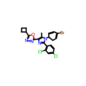 Cc1c(-c2nnc(C3CCC3)o2)nc(-c2ccc(Cl)cc2Cl)n1C1C=CC(Br)=CC1